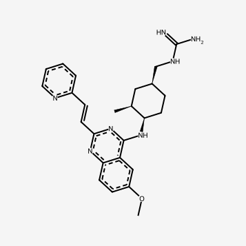 COc1ccc2nc(C=Cc3ccccn3)nc(N[C@@H]3CC[C@H](CNC(=N)N)C[C@@H]3C)c2c1